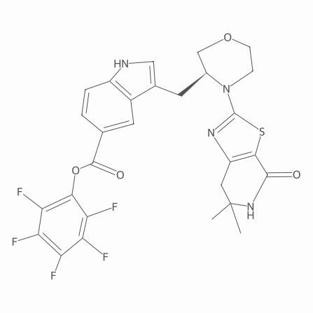 CC1(C)Cc2nc(N3CCOC[C@@H]3Cc3c[nH]c4ccc(C(=O)Oc5c(F)c(F)c(F)c(F)c5F)cc34)sc2C(=O)N1